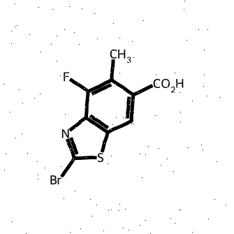 Cc1c(C(=O)O)cc2sc(Br)nc2c1F